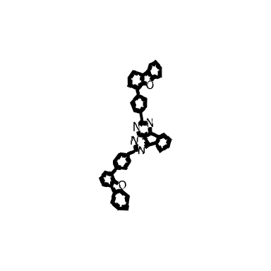 c1ccc2c(c1)-c1nc(-c3ccc(-c4cccc5c4oc4ccccc45)cc3)nc3nc(-c4ccc(-c5cccc6c5oc5ccccc56)cc4)nc-2c13